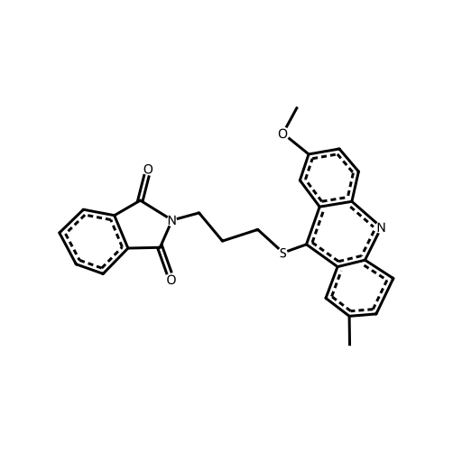 COc1ccc2nc3ccc(C)cc3c(SCCCN3C(=O)c4ccccc4C3=O)c2c1